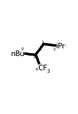 CCCCC(C[C](C)C)C(F)(F)F